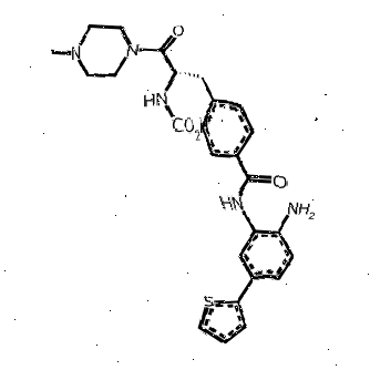 CN1CCN(C(=O)[C@H](Cc2ccc(C(=O)Nc3cc(-c4cccs4)ccc3N)cc2)NC(=O)O)CC1